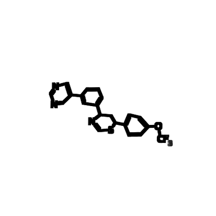 FC(F)(F)Oc1ccc(C2CC(c3cccc(-c4cncnc4)c3)N=CS2)cc1